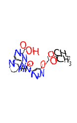 CC1(C)OCC(COc2cc(NC(=O)N3c4nc(C(=O)O)ncc4N4CCC[C@H]3C4)ncn2)O1